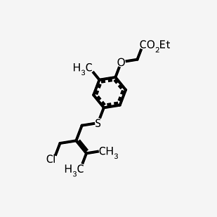 CCOC(=O)COc1ccc(SCC(CCl)=C(C)C)cc1C